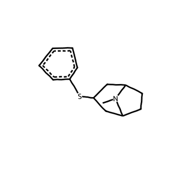 CN1C2CCC1CC(Sc1ccccc1)C2